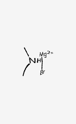 CNC.[Mg+2][Br]